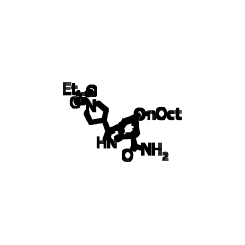 CCCCCCCCOc1cc(C(N)=O)c2[nH]cc(C3CCN(S(=O)(=O)CC)CC3)c2c1